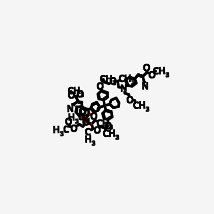 CCOCCN(CC(C)OCC(C)Oc1ccc(C(c2ccc(OC(C)COC(C)COC(C)COC(C)CN(CCOC(C)=O)c3ccc(/C=C(\C#N)C(=O)OC)cc3)cc2)(c2ccc(-c3ccccc3)cc2)C2CCCCC2)cc1)c1ccc(/C=C(\C#N)C(=O)OC)cc1